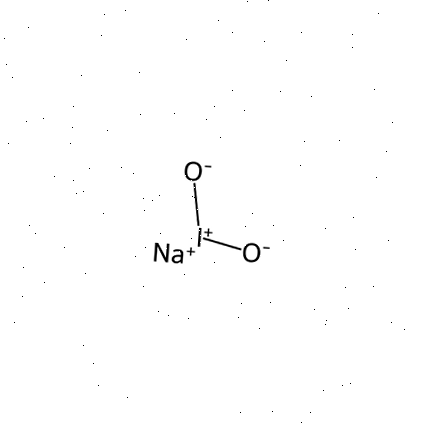 [Na+].[O-][I+][O-]